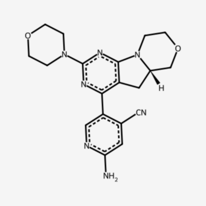 N#Cc1cc(N)ncc1-c1nc(N2CCOCC2)nc2c1C[C@H]1COCCN21